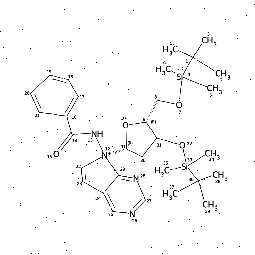 CC(C)(C)[Si](C)(C)OC[C@H]1O[C@@H]([N+]2(NC(=O)c3ccccc3)C=Cc3cncnc32)CC1O[Si](C)(C)C(C)(C)C